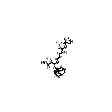 C[C@@H](C(=O)O)[C@@H](CC12CC3CC(CC(C3)C1)C2)OCCCNC(=O)OC(C)(C)C